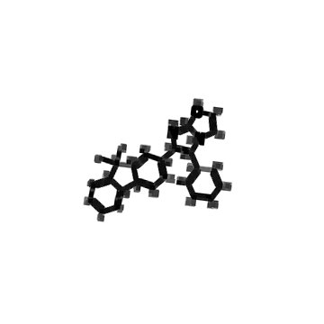 CC1(C)c2ccccc2-c2ccc(-c3nc4occn4c3-c3ccccc3)cc21